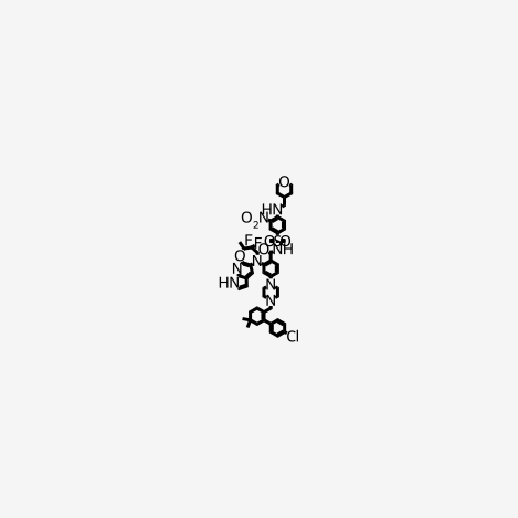 CC1Oc2nc3[nH]ccc3cc2N(c2cc(N3CCN(CC4=C(c5ccc(Cl)cc5)CC(C)(C)CC4)CC3)ccc2C(=O)NS(=O)(=O)c2ccc(NCC3CCOCC3)c([N+](=O)[O-])c2)CC1(F)F